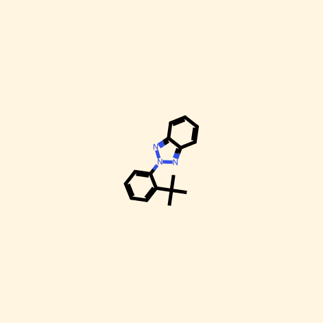 CC(C)(C)c1ccccc1-n1nc2ccccc2n1